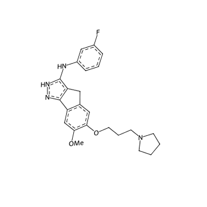 COc1cc2c(cc1OCCCN1CCCC1)Cc1c-2n[nH]c1Nc1cccc(F)c1